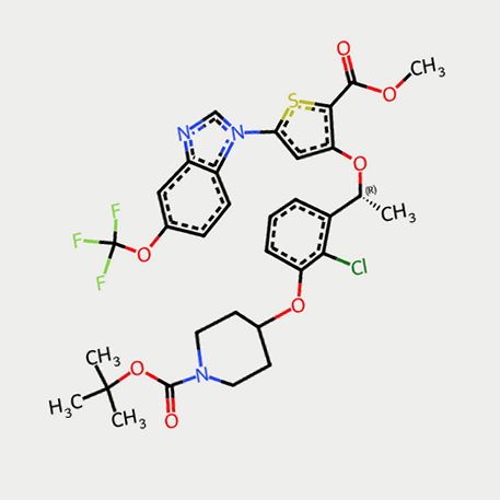 COC(=O)c1sc(-n2cnc3cc(OC(F)(F)F)ccc32)cc1O[C@H](C)c1cccc(OC2CCN(C(=O)OC(C)(C)C)CC2)c1Cl